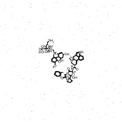 CN1C[C@H](C(=O)N[C@]2(C)O[C@@]3(O)[C@@H]4CCCN4C(=O)[C@H](Cc4ccccc4)N3C2=O)C=C2c3cccc4[nH]cc(c34)C[C@H]21.COc1ccc2c3c1O[C@H]1C[C@@H](O)C=C[C@@]31CCN(C)C2.NCCCC(O)(P(=O)(O)O)P(=O)(O)O